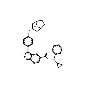 CN1[C@@H]2CC[C@H]1C[C@@H](Oc1ccc(-c3n[nH]c4ccc(C(=O)N[C@@H](c5ccccc5)C5CC5)cc34)cc1)C2